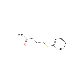 CNC(=O)CCCSc1ccccc1